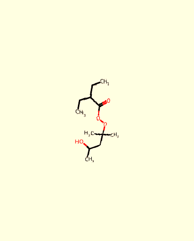 CCC(CC)C(=O)OOC(C)(C)CC(C)O